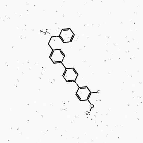 CCOc1ccc(-c2ccc(-c3ccc(C[C@H](C)c4ccccc4)cc3)cc2)cc1F